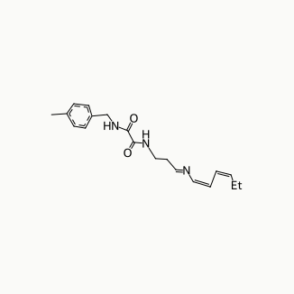 CC\C=C/C=C\N=C\CCNC(=O)C(=O)NCc1ccc(C)cc1